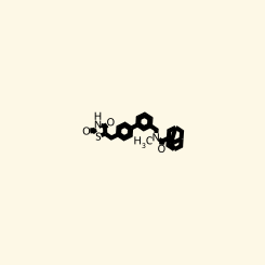 CN(Cc1cccc(-c2ccc(CC3SC(=O)NC3=O)cc2)c1)C(=O)C12CC3CC(CC(C3)C1)C2